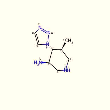 C[C@H]1CNC[C@@H](N)[C@@H]1n1ccnn1